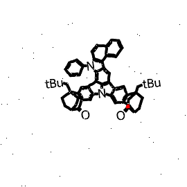 CC(C)(C)CC12CCC(CC1)C(=O)c1cc3c(cc12)c1cc2c4c5ccccc5ccc4n(-c4ccccc4)c2c2c4cc5c(cc4n3c12)C(=O)C1CCC5(CC(C)(C)C)CC1